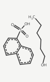 CCCCCCO.O=S(=O)(O)c1cccc2ccccc12